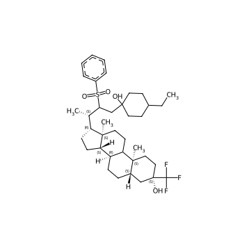 CCC1CCC(O)(CC([C@@H](C)[C@H]2CC[C@H]3[C@@H]4CC[C@H]5C[C@](O)(C(F)(F)F)CC[C@]5(C)C4CC[C@]23C)S(=O)(=O)c2ccccc2)CC1